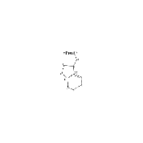 CCCCCCC1CCC2CCCC=C21